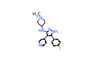 CN1CCC(Nc2n[nH]c(-c3ccc(F)cc3)c2-c2ccncc2)CC1